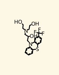 OCCN(CCO)CC(O)CN1c2ccccc2Sc2ccc(C(F)(F)F)cc21